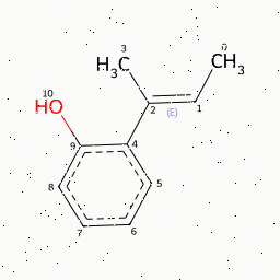 C/C=C(\C)c1ccccc1O